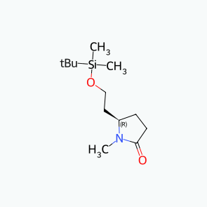 CN1C(=O)CC[C@@H]1CCO[Si](C)(C)C(C)(C)C